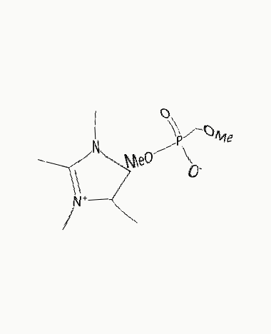 CC1=[N+](C)C(C)CN1C.COP(=O)([O-])OC